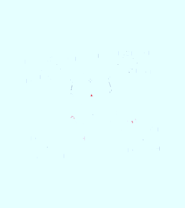 CC(C)(C)c1ccc(S(c2ccc(C(C)(C)C)cc2)(c2ccc(C(C)(C)C)cc2)C(CS(=O)(=O)O)(S(c2ccc(C(C)(C)C)cc2)(c2ccc(C(C)(C)C)cc2)c2ccc(C(C)(C)C)cc2)S(=O)(=O)O)cc1